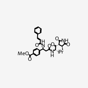 COC(=O)c1ccc(C(CC(=O)N[C@H](C(=O)[C@@H]2C(=O)NC(=O)[C@H]2C)C(C)C)NC(=O)/C=C/c2ccccc2)cc1